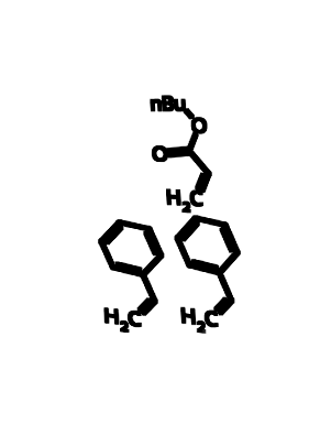 C=CC(=O)OCCCC.C=Cc1ccccc1.C=Cc1ccccc1